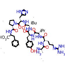 CC[C@H](C)[C@H](NC(=O)[C@H](Cc1ccc(O)cc1)NC(=O)[C@@H](NC(=O)[C@H](CCCN=C(N)N)NC(=O)[C@H](C)N)C(C)C)C(=O)N[C@@H](Cc1cnc[nH]1)C(=O)N1CCC[C@H]1C(=O)N[C@@H](Cc1ccccc1)C(=O)O